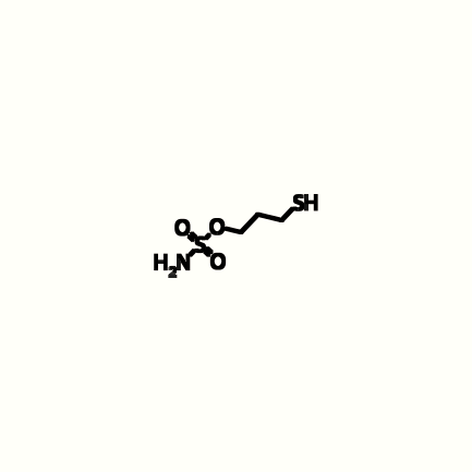 NS(=O)(=O)OCCCS